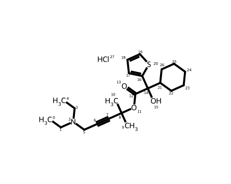 CCN(CC)CC#CC(C)(C)OC(=O)C(O)(c1cccs1)C1CCCCC1.Cl